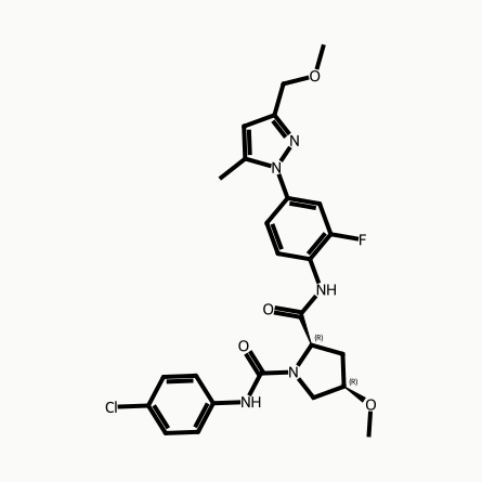 COCc1cc(C)n(-c2ccc(NC(=O)[C@H]3C[C@@H](OC)CN3C(=O)Nc3ccc(Cl)cc3)c(F)c2)n1